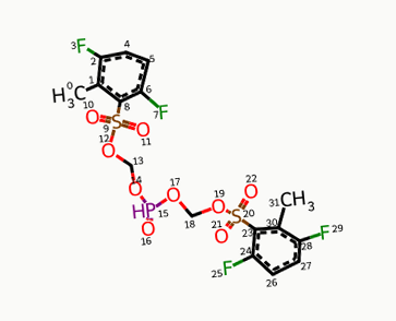 Cc1c(F)ccc(F)c1S(=O)(=O)OCO[PH](=O)OCOS(=O)(=O)c1c(F)ccc(F)c1C